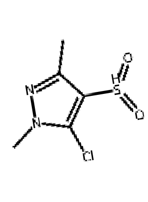 Cc1nn(C)c(Cl)c1[SH](=O)=O